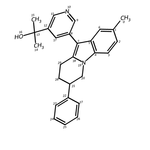 Cc1ccc2c(c1)c(-c1cncc(C(C)(C)O)c1)c1n2CC(c2ccccc2)CC1